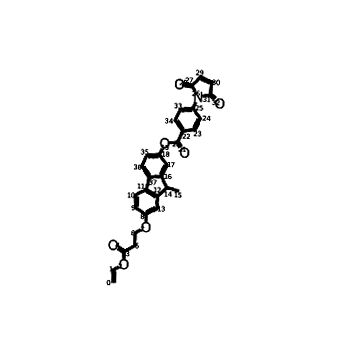 C=COC(=O)CCOc1ccc2c(c1)C(C)c1cc(OC(=O)c3ccc(N4C(=O)C=CC4=O)cc3)ccc1-2